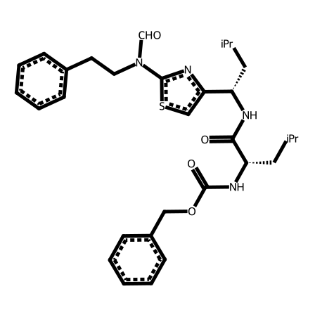 CC(C)C[C@H](NC(=O)OCc1ccccc1)C(=O)N[C@@H](CC(C)C)c1csc(N(C=O)CCc2ccccc2)n1